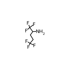 NC(CCC(F)(F)F)C(F)(F)F